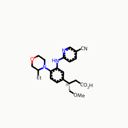 CCC1COCCN1c1ccc([C@@H](COC)CC(=O)O)cc1Nc1ccc(C#N)cn1